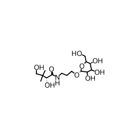 CC(C)(CO)[C@@H](O)C(=O)NCCCO[C@@H]1OC(CO)[C@@H](O)C(O)C1O